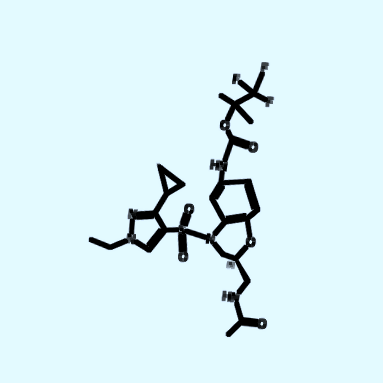 CCn1cc(S(=O)(=O)N2C[C@H](CNC(C)=O)Oc3ccc(NC(=O)OC(C)(C)C(F)(F)F)cc32)c(C2CC2)n1